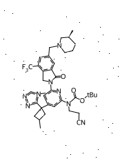 CC1CC(c2cc(N(CCC#N)C(=O)OC(C)(C)C)nc(N3Cc4c(cc(CN5CCC[C@H](C)C5)cc4C(F)(F)F)C3=O)c2)(c2nncn2C)C1